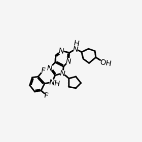 OC1CCC(Nc2ncc3nc(Nc4c(F)cccc4F)n(C4CCCC4)c3n2)CC1